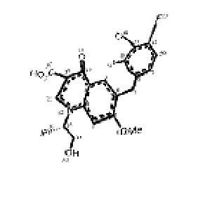 COc1cc2c(cc1Cc1ccc(F)c(Cl)c1F)c(=O)c(C(=O)O)cn2[C@H](CO)C(C)C